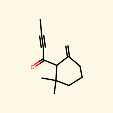 C=C1CCCC(C)(C)C1C(=O)C#CC